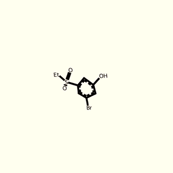 CCS(=O)(=O)c1cc(O)cc(Br)c1